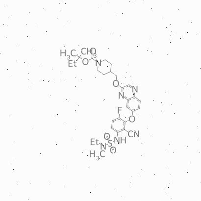 CCN(C)S(=O)(=O)Nc1ccc(F)c(Oc2ccc3ncc(OCC4CCN(C(=O)OC(C)(C)CC)CC4)nc3c2)c1C#N